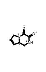 O=C1N[CH]C2C=CCN2C1=O